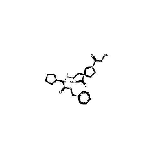 COC(=O)C1(CCN[C@H](C(=O)OCc2ccccc2)C2CCCC2)CCN(C(=O)OC(C)(C)C)C1